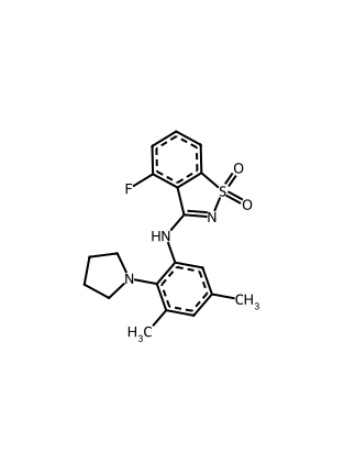 Cc1cc(C)c(N2CCCC2)c(NC2=NS(=O)(=O)c3cccc(F)c32)c1